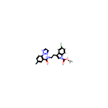 Cc1ccc(-n2nccn2)c(C(=O)NCCc2cn(C(=O)OC(C)(C)C)c3ccc(F)cc23)c1